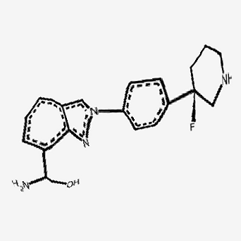 NC(O)c1cccc2cn(-c3ccc([C@]4(F)CCCNC4)cc3)nc12